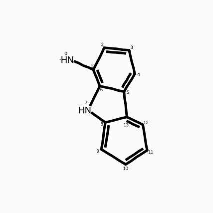 [NH]c1cccc2c1[nH]c1ccccc12